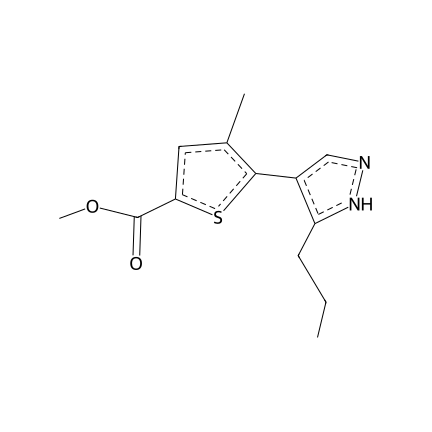 CCCc1[nH]ncc1-c1sc(C(=O)OC)cc1C